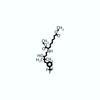 CCOC(=O)CCCCCCC(NCCC(O)C(C)(C)Cc1cccc(C(F)(F)F)c1)C(=O)OCC